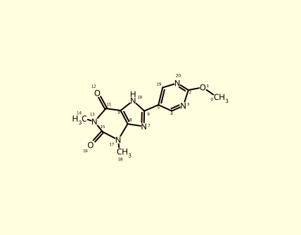 COc1ncc(-c2nc3c([nH]2)c(=O)n(C)c(=O)n3C)cn1